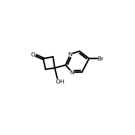 O=C1CC(O)(c2ncc(Br)cn2)C1